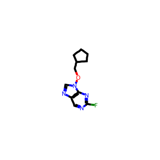 Fc1ncc2ncn(OCC3CCCC3)c2n1